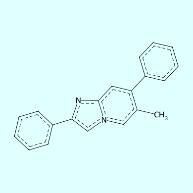 Cc1cn2cc(-c3ccccc3)nc2cc1-c1ccccc1